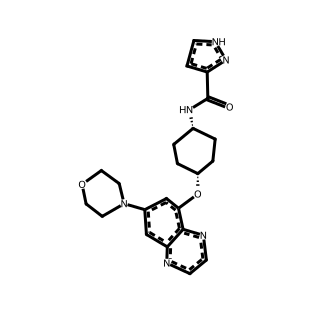 O=C(N[C@H]1CC[C@@H](Oc2cc(N3CCOCC3)cc3nccnc23)CC1)c1cc[nH]n1